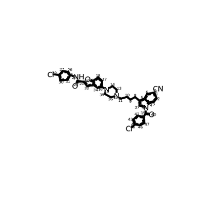 N#Cc1ccc2c(c1)c(CCCCN1CCN(c3ccc4oc(C(=O)Nc5ccc(Cl)cc5)cc4c3)CC1)cn2C(=O)c1ccc(Cl)cc1